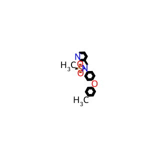 CCS(=O)(=O)N(Cc1cccnc1)c1ccc(Oc2ccc(C)cc2)cc1